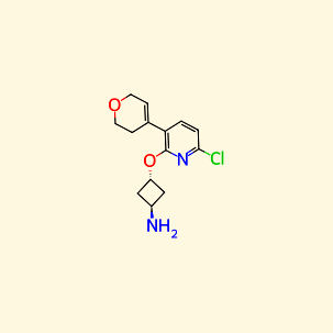 N[C@H]1C[C@H](Oc2nc(Cl)ccc2C2=CCOCC2)C1